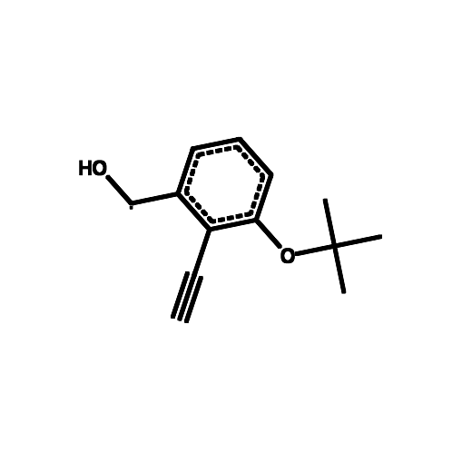 C#Cc1c([CH]O)cccc1OC(C)(C)C